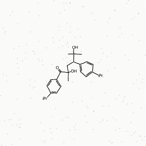 CC(C)c1ccc(C(=O)C(C)(O)CC(c2ccc(C(C)C)cc2)C(C)(C)O)cc1